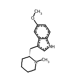 COc1ccc2[nH]cc(C[C@H]3CCCCN3C)c2c1